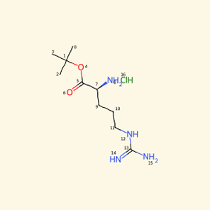 CC(C)(C)OC(=O)[C@@H](N)CCCNC(=N)N.Cl